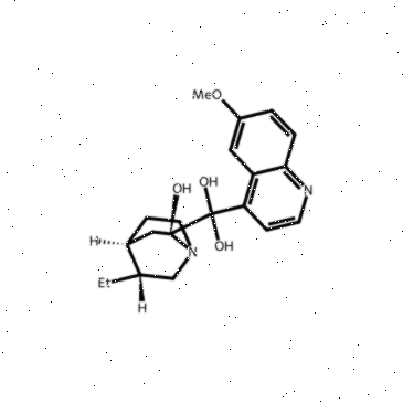 CC[C@H]1CN2CC[C@H]1C[C@]2(O)C(O)(O)c1ccnc2ccc(OC)cc12